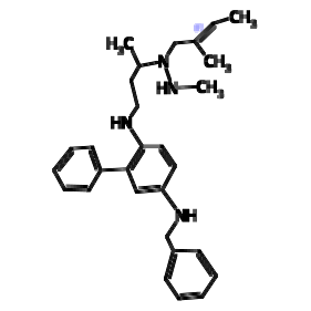 C/C=C(\C)CN(NC)C(C)CCNc1ccc(NCc2ccccc2)cc1-c1ccccc1